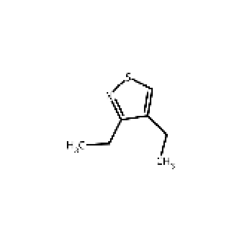 CCc1csnc1CC